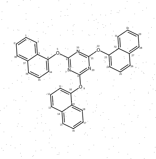 c1ccc2c(Oc3nc(Oc4cccc5ccccc45)nc(Oc4cccc5ccccc45)n3)cccc2c1